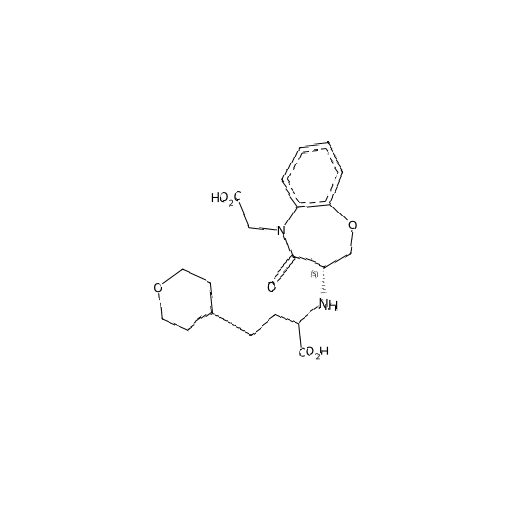 O=C(O)CN1C(=O)[C@@H](NC(CCC2CCOCC2)C(=O)O)COc2ccccc21